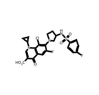 O=C(O)c1cn(C2CC2)c2c(Cl)c(N3CCC(NS(=O)(=O)c4ccc(F)cc4)C3)c(F)cc2c1=O